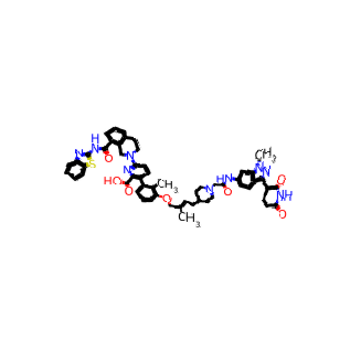 Cc1c(OC[C@H](C)CCC2CCN(CC(=O)Nc3ccc4c(C5CCC(=O)NC5=O)nn(C)c4c3)CC2)cccc1-c1ccc(N2CCc3cccc(C(=O)Nc4nc5ccccc5s4)c3C2)nc1C(=O)O